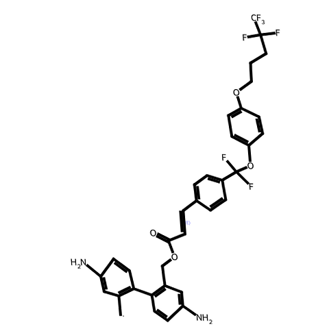 [CH2]c1cc(N)ccc1-c1ccc(N)cc1COC(=O)/C=C/c1ccc(C(F)(F)Oc2ccc(OCCCC(F)(F)C(F)(F)F)cc2)cc1